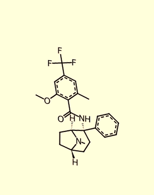 COc1cc(C(F)(F)F)cc(C)c1C(=O)N[C@]1(c2ccccc2)CC[C@@H]2CC[C@@H]1N2C